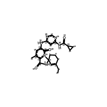 CCC1=CC2(CCC1)NC(=O)c1c(C)cc(Nc3cc(NC(=O)C4CC4)ncn3)c(=O)n12